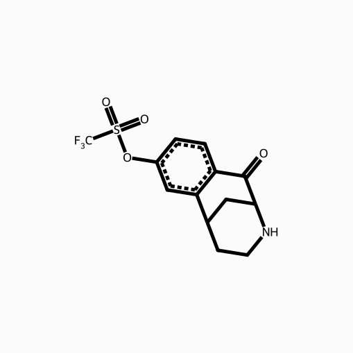 O=C1c2ccc(OS(=O)(=O)C(F)(F)F)cc2C2CCNC1C2